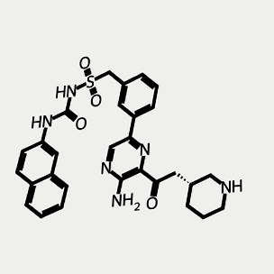 Nc1ncc(-c2cccc(CS(=O)(=O)NC(=O)Nc3ccc4ccccc4c3)c2)nc1C(=O)C[C@H]1CCCNC1